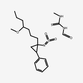 CCCC(CCCC1(N=S(=O)=O)CC1c1ccccc1)OC.CNC(=S)NC=O